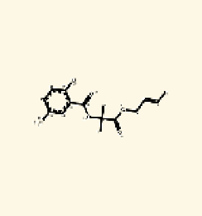 CC=CCOC(=O)C(C)(C)OC(=O)c1cc(N)ccc1Cl